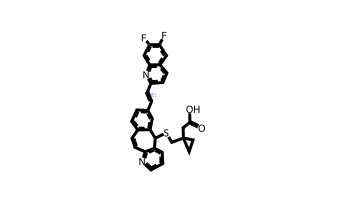 O=C(O)CC1(CSC2c3cc(/C=C/c4ccc5cc(F)c(F)cc5n4)ccc3C=Cc3ncccc32)CC1